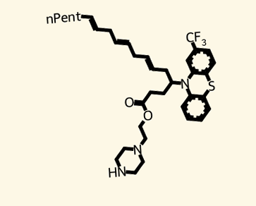 CCCCCC=CCC=CCC=CCC(CCC(=O)OCCN1CCNCC1)N1c2ccccc2Sc2ccc(C(F)(F)F)cc21